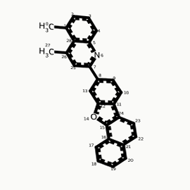 Cc1cccc2nc(-c3ccc4c(c3)oc3c5ccccc5ccc43)cc(C)c12